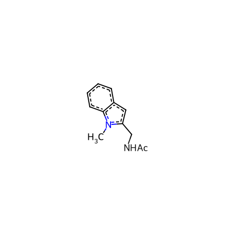 CC(=O)NCc1cc2ccccc2n1C